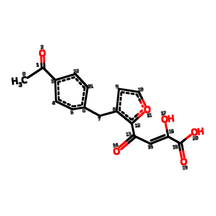 CC(=O)c1ccc(Cc2ccoc2C(=O)/C=C(\O)C(=O)O)cc1